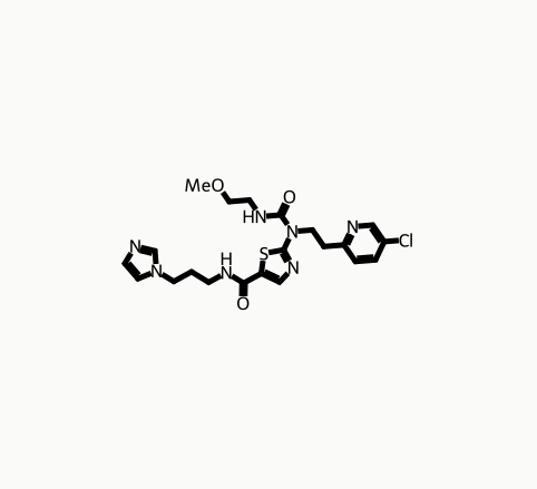 COCCNC(=O)N(CCc1ccc(Cl)cn1)c1ncc(C(=O)NCCCn2ccnc2)s1